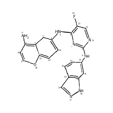 NC1=C2CC(Nc3nc(Nc4ccc5cn[nH]c5c4)ncc3F)=CC=C2OC=C1